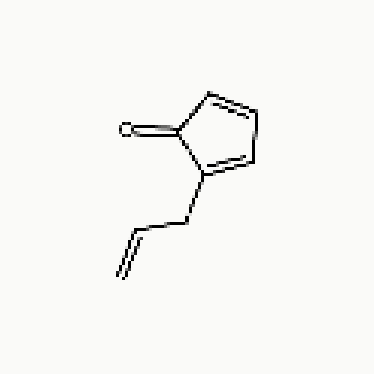 C=CCC1=CC=CC1=O